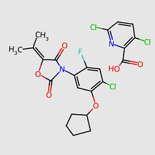 CC(C)=C1OC(=O)N(c2cc(OC3CCCC3)c(Cl)cc2F)C1=O.O=C(O)c1nc(Cl)ccc1Cl